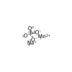 O=P([O-])([O-])[O-].[Mn+2].[Na+]